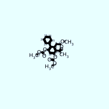 COC(=O)Cc1c(C(C)=O)c(OC(=O)OC)cc(OC(=O)OC)c1-c1ccccc1